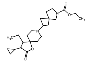 CCOC(=O)N1CCC2(CC(N3CCC4(CC3)OC(=O)N(C3CC3)C4CC)C2)C1